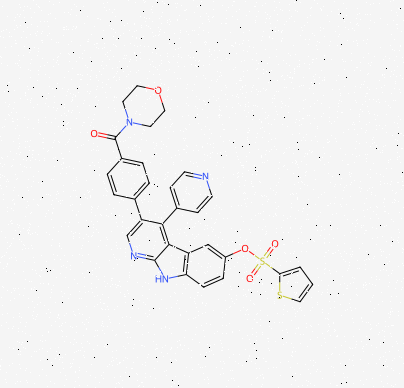 O=C(c1ccc(-c2cnc3[nH]c4ccc(OS(=O)(=O)c5cccs5)cc4c3c2-c2ccncc2)cc1)N1CCOCC1